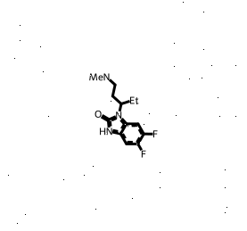 CCC(CCNC)n1c(=O)[nH]c2cc(F)c(F)cc21